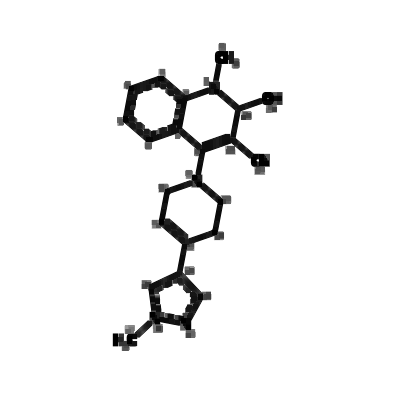 CN1c2ccccc2C(N2CC=C(c3cnn(C)c3)CC2)=C(C#N)C1O